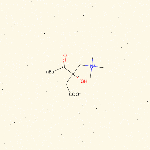 CCCCC(=O)C(O)(CC(=O)[O-])C[N+](C)(C)C